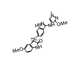 COc1ccc2c(c1)[C@]1(C[C@H]1c1ccc3c(Nc4cn(C)nc4OC)n[nH]c3c1)C(=O)N2